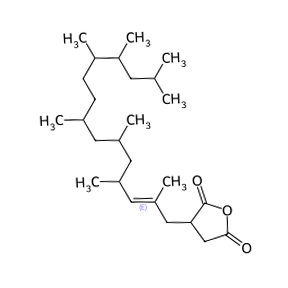 C/C(=C\C(C)CC(C)CC(C)CCC(C)C(C)CC(C)C)CC1CC(=O)OC1=O